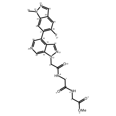 COC(=O)CNC(=O)CNC(=O)Cn1ncc2c(-c3cc4c(cnn4C)cc3F)cncc21